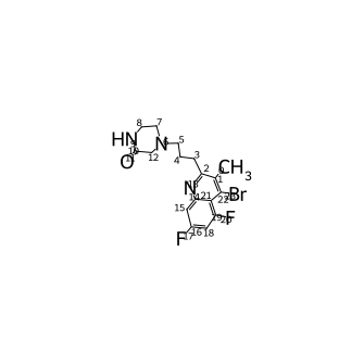 Cc1c(CCCN2CCNC(=O)C2)nc2cc(F)cc(F)c2c1Br